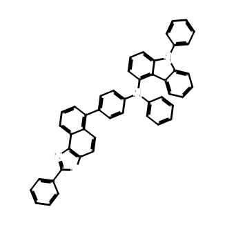 c1ccc(-c2nc3c(ccc4c(-c5ccc(N(c6ccccc6)c6cccc7c6c6ccccc6n7-c6ccccc6)cc5)cccc43)o2)cc1